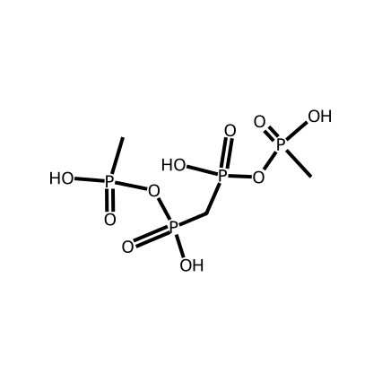 CP(=O)(O)OP(=O)(O)CP(=O)(O)OP(C)(=O)O